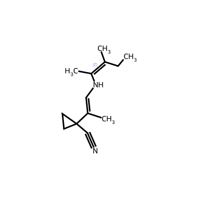 CC/C(C)=C(/C)NC=C(C)C1(C#N)CC1